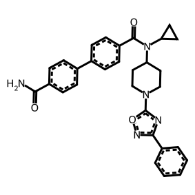 NC(=O)c1ccc(-c2ccc(C(=O)N(C3CC3)C3CCN(c4nc(-c5ccccc5)no4)CC3)cc2)cc1